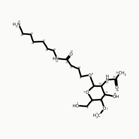 COC1C(CO)OC(OCCCC(=O)NCCCCCCN)C(NC(C)=O)C1O